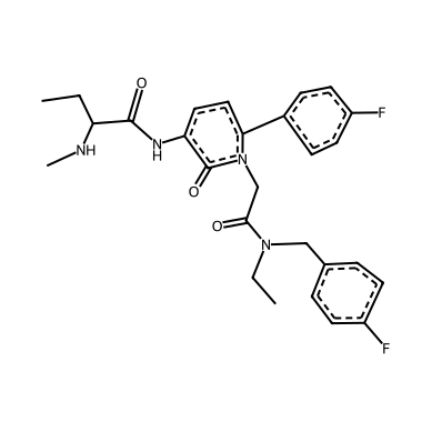 CCC(NC)C(=O)Nc1ccc(-c2ccc(F)cc2)n(CC(=O)N(CC)Cc2ccc(F)cc2)c1=O